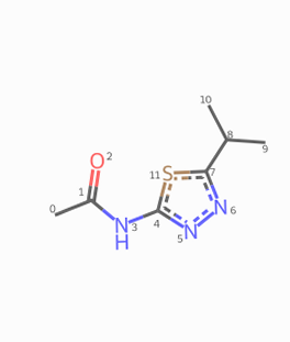 CC(=O)Nc1nnc(C(C)C)s1